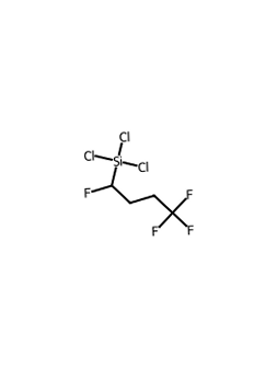 FC(CCC(F)(F)F)[Si](Cl)(Cl)Cl